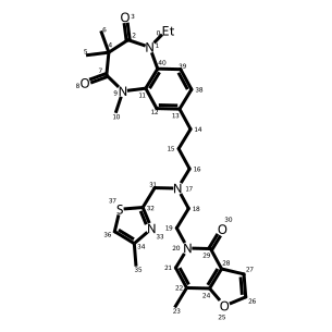 CCN1C(=O)C(C)(C)C(=O)N(C)c2cc(CCCN(CCn3cc(C)c4occc4c3=O)Cc3nc(C)cs3)ccc21